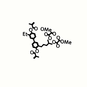 C=C(C)C(=O)Oc1ccc(-c2ccc(OC(=O)C(=C)C)c(CCCC(COC(=O)C(=O)OC)COC(=O)C(=O)OC)c2)cc1CC